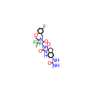 CNC(=O)Nc1ccc2c(c1)CCC21NC(=O)N(CC(=O)N2Cc3cc(F)ccc3OC[C@H]2C(F)(F)F)C1=O